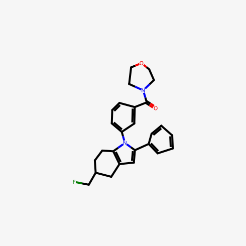 O=C(c1cccc(-n2c(-c3ccccc3)cc3c2CCC(CF)C3)c1)N1CCOCC1